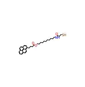 O=C(CCS)NCCCCCCCCCCCOC(=O)CCCc1ccc2ccc3cccc4ccc1c2c34